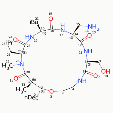 CCCCCCCCCC[C@H]1OCCNC(=O)[C@H](CO)NC(=O)[C@H](CN)NC(=O)[C@H](C(C)CC)NC(=O)[C@H](CC(C)C)N(C)C(=O)[C@@H]1C